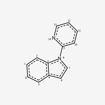 [c]1ccc2c(c1)ccn2-c1ccccn1